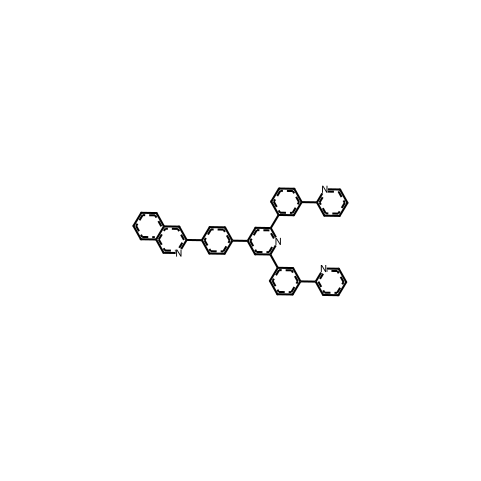 c1ccc(-c2cccc(-c3cc(-c4ccc(-c5cc6ccccc6cn5)cc4)cc(-c4cccc(-c5ccccn5)c4)n3)c2)nc1